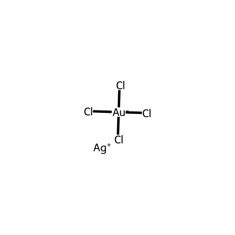 [Ag+].[Cl][Au-]([Cl])([Cl])[Cl]